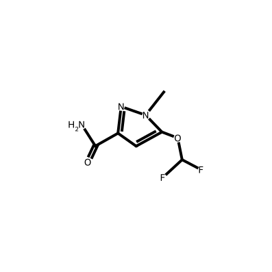 Cn1nc(C(N)=O)cc1OC(F)F